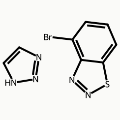 Brc1cccc2snnc12.c1c[nH]nn1